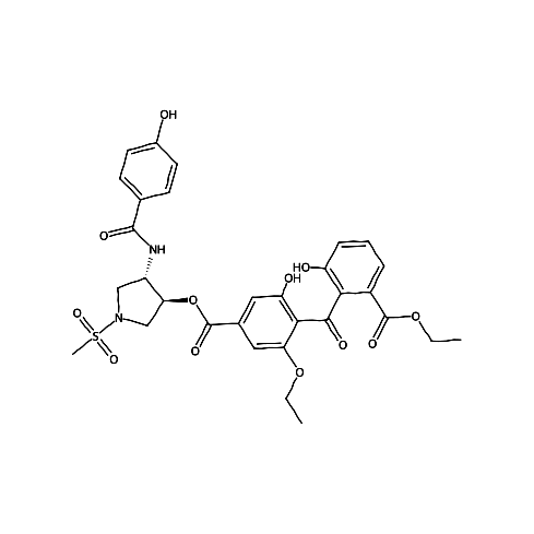 CCOC(=O)c1cccc(O)c1C(=O)c1c(O)cc(C(=O)O[C@H]2CN(S(C)(=O)=O)C[C@@H]2NC(=O)c2ccc(O)cc2)cc1OCC